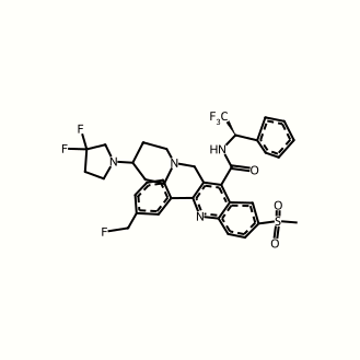 CS(=O)(=O)c1ccc2nc(-c3cccc(CF)c3)c(CN3CCC(N4CCC(F)(F)C4)CC3)c(C(=O)N[C@H](c3ccccc3)C(F)(F)F)c2c1